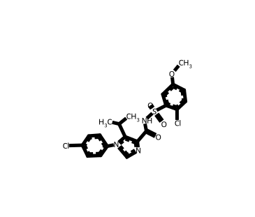 COc1ccc(Cl)c(S(=O)(=O)NC(=O)c2ncn(-c3ccc(Cl)cc3)c2C(C)C)c1